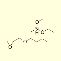 CCCC(C[SiH](OCC)OCC)OCC1CO1